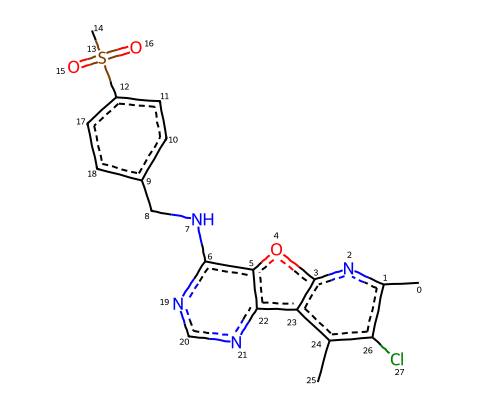 Cc1nc2oc3c(NCc4ccc(S(C)(=O)=O)cc4)ncnc3c2c(C)c1Cl